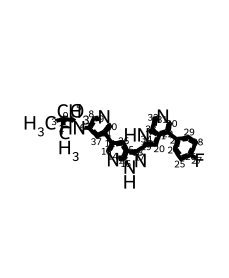 CC(C)(C)C(=O)Nc1cncc(-c2cnc3[nH]nc(-c4cc5c(-c6ccc(F)cc6)cncc5[nH]4)c3c2)c1